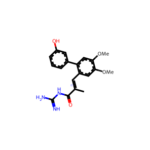 COc1cc(/C=C(\C)C(=O)NC(=N)N)c(-c2cccc(O)c2)cc1OC